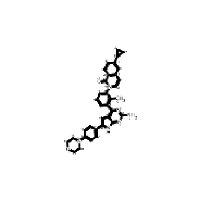 Cc1c(-c2nc(N)nc3[nH]c(-c4ccc(N5CCOCC5)cc4)cc23)cccc1-n1ccc2cc(C3CC3)ccc2c1=O